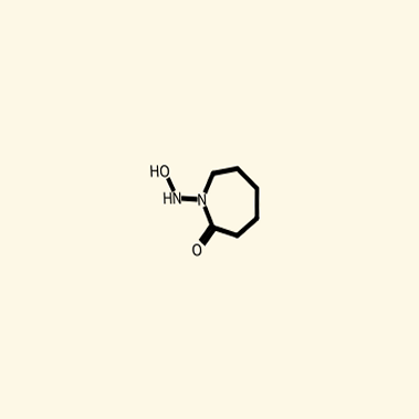 O=C1CCCCCN1NO